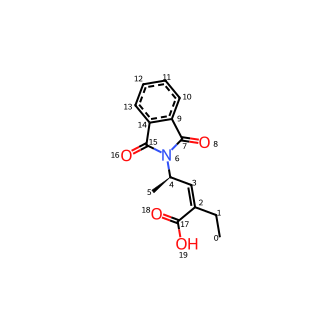 CCC(=C[C@@H](C)N1C(=O)c2ccccc2C1=O)C(=O)O